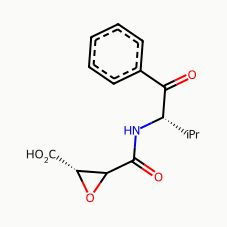 CC(C)[C@H](NC(=O)C1O[C@@H]1C(=O)O)C(=O)c1ccccc1